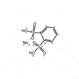 N.O=S(=O)(O)c1ccccc1S(=O)(=O)O